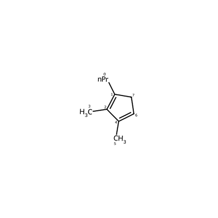 CCCC1=C(C)C(C)=CC1